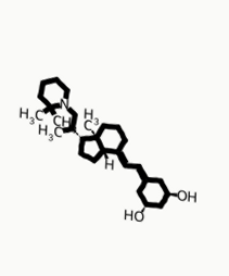 CC(CN1CCCCC1(C)C)[C@H]1CC[C@H]2C(=CC=C3C[C@@H](O)C[C@H](O)C3)CCC[C@]12C